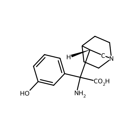 NC(C(=O)O)(c1cccc(O)c1)[C@H]1CN2CCC1CC2